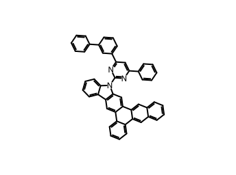 c1ccc(-c2cccc(-c3cc(-c4ccccc4)nc(-n4c5ccccc5c5cc6c7ccccc7c7cc8ccccc8cc7c6cc54)n3)c2)cc1